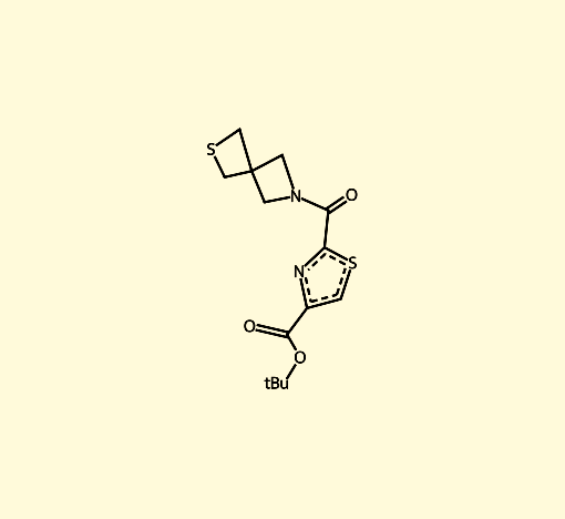 CC(C)(C)OC(=O)c1csc(C(=O)N2CC3(CSC3)C2)n1